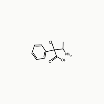 CC(N)C(Cl)(C(=O)O)c1ccccc1